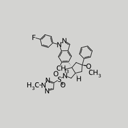 CO[C@@]1(c2ccccc2)C[C@H]2CN(S(=O)(=O)c3cnn(C)n3)C[C@@]2(c2cc3cnn(-c4ccc(F)cc4)c3cc2C)C1